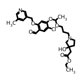 CCOC(=O)CC1(O)CCN(CCCOC(C)Oc2cc(OCc3cncc(C)c3)c(C=O)cc2Cl)C1